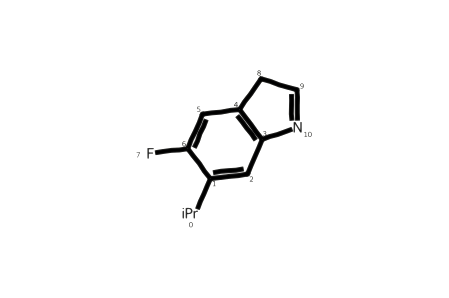 CC(C)c1cc2c(cc1F)CC=N2